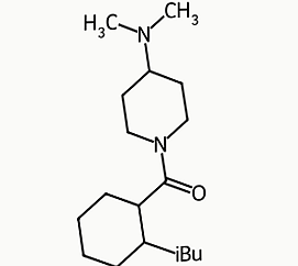 CCC(C)C1CCCCC1C(=O)N1CCC(N(C)C)CC1